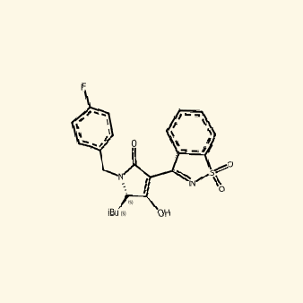 CC[C@H](C)[C@H]1C(O)=C(C2=NS(=O)(=O)c3ccccc32)C(=O)N1Cc1ccc(F)cc1